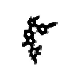 Cn1ncc(-c2ccc3c(c2)CN(C2CCC(=O)NC2=O)C3=O)c1-c1cccc(C#N)c1